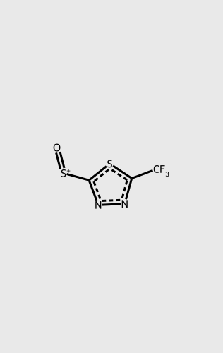 O=[S+]c1nnc(C(F)(F)F)s1